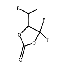 CC(F)C1OC(=O)OC1(F)F